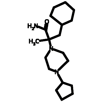 CC(CC1CCCCC1)(C(N)=O)N1CCN(C2CCCC2)CC1